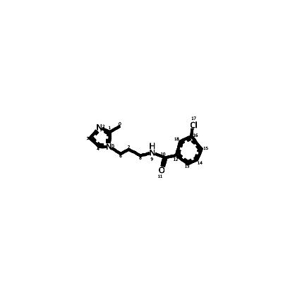 Cc1nccn1CCCNC(=O)c1cccc(Cl)c1